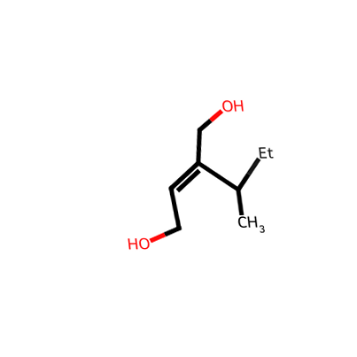 CCC(C)/C(=C\CO)CO